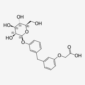 O=C(O)COc1cccc(Cc2cccc(O[C@@H]3O[C@H](CO)[C@@H](O)[C@H](O)[C@@H]3O)c2)c1